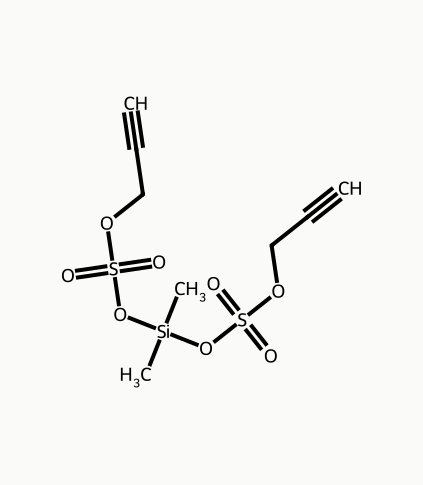 C#CCOS(=O)(=O)O[Si](C)(C)OS(=O)(=O)OCC#C